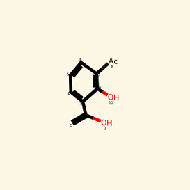 C=C(O)c1cccc(C(C)=O)c1O